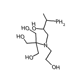 CC(P)C(O)CN(CCO)C(CO)(CO)CO